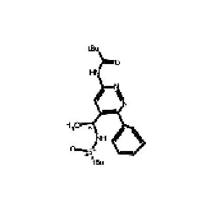 C[C@H](N[S@+]([O-])C(C)(C)C)c1cc(NC(=O)C(C)(C)C)nnc1-c1ccccc1